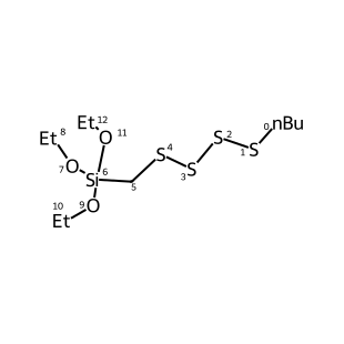 CCCCSSSSC[Si](OCC)(OCC)OCC